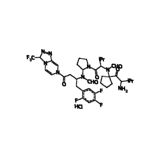 CC(C)C(N)C(=O)C1(N(C=O)C(C(=O)N2CCCC2N(C=O)C(CC(=O)N2C=CN3C(=C2)N=NC3C(F)(F)F)Cc2cc(F)c(F)cc2F)C(C)C)CCCC1.Cl